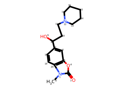 Cn1c(=O)oc2cc(C(O)CCN3CCCCC3)ccc21